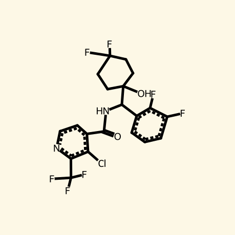 O=C(NC(c1cccc(F)c1F)C1(O)CCC(F)(F)CC1)c1ccnc(C(F)(F)F)c1Cl